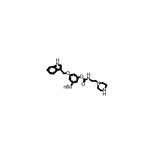 CCCCc1cc(OCc2c[nH]c3ccccc23)cc(OC(=O)NCCN2CCNCC2)c1